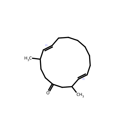 CC1/C=C/CCCCCC/C=C/C(C)CC(=O)CC1